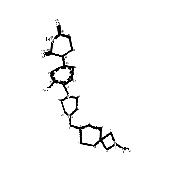 NN1CC2(CCC(CN3CCN(c4ccc(C5CCC(=O)NC5=O)cc4F)CC3)CC2)C1